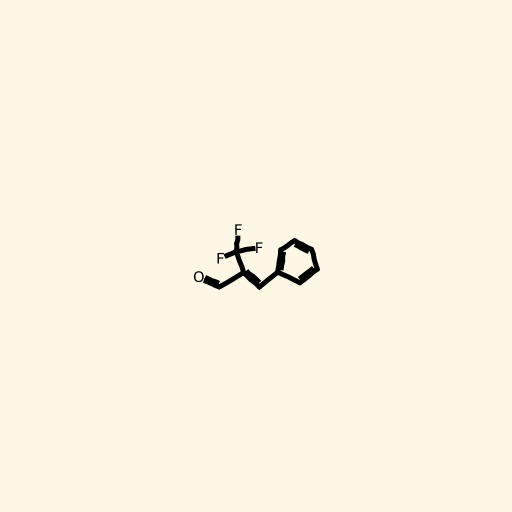 O=CC(=Cc1ccccc1)C(F)(F)F